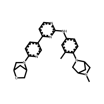 Cc1cc(Nc2nccc(-c3ccc(N4CC5CC4CO5)nc3)n2)ccc1N1CC2CC1CN2C